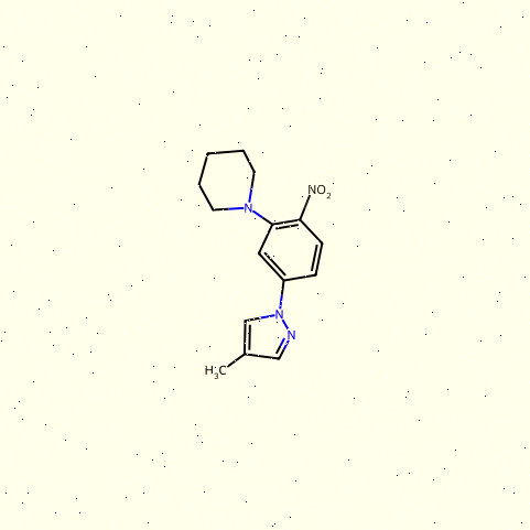 Cc1cnn(-c2ccc([N+](=O)[O-])c(N3CCCCC3)c2)c1